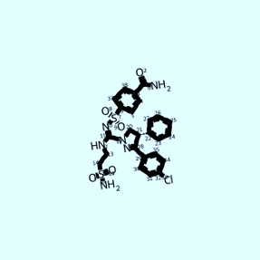 NC(=O)c1ccc(S(=O)(=O)/N=C(/NCCS(N)(=O)=O)N2C[C@H](c3ccccc3)C(c3ccc(Cl)cc3)=N2)cc1